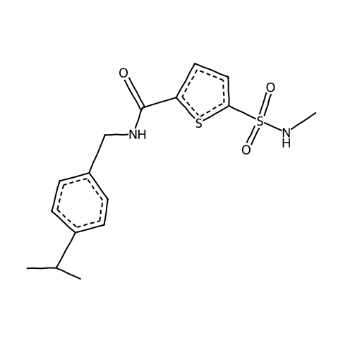 CNS(=O)(=O)c1ccc(C(=O)NCc2ccc(C(C)C)cc2)s1